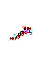 N[C@@H](C[C@H](Cc1ccc(OC(CO)CF)cc1)C(=O)O)C(=O)O